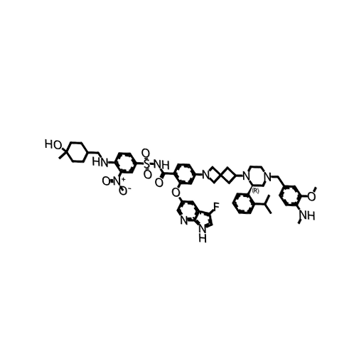 CNc1ccc(CN2CCN(C3CC4(C3)CN(c3ccc(C(=O)NS(=O)(=O)c5ccc(NCC6CCC(C)(O)CC6)c([N+](=O)[O-])c5)c(Oc5cnc6[nH]cc(F)c6c5)c3)C4)[C@H](c3ccccc3C(C)C)C2)cc1OC